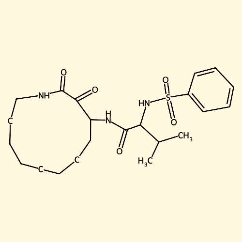 CC(C)C(NS(=O)(=O)c1ccccc1)C(=O)NC1CCCCCCCCNC(=O)C1=O